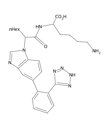 CCCCCCC(C(=O)NC(CCCCN)C(=O)O)n1cnc2cc(-c3ccccc3-c3nn[nH]n3)ccc21